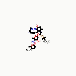 C#C/C=C\C#C[C@H](OC1CC(O)[C@H](NOC2CC[C@H](SC)C(C)O2)C(C)O1)C1=C(N)C(=O)CC(C)/C1=C/CSSC(C)(C)CC(=O)O